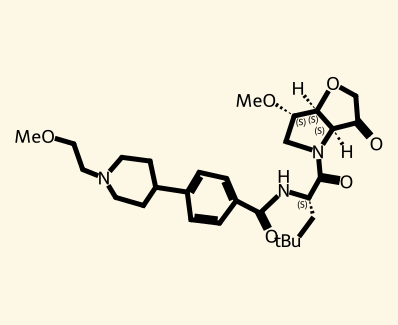 COCCN1CCC(c2ccc(C(=O)N[C@@H](CC(C)(C)C)C(=O)N3C[C@H](OC)[C@H]4OCC(=O)[C@H]43)cc2)CC1